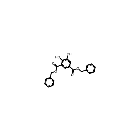 O=C(OCc1ccccc1)c1cc(O)c(O)c(C(=O)OCc2ccccc2)c1